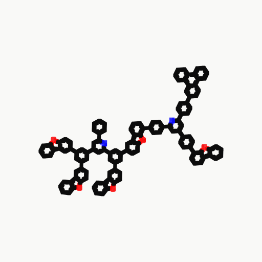 c1ccc(-c2cc(-c3cc(-c4ccc5oc6ccccc6c5c4)cc(-c4ccc5oc6ccccc6c5c4)c3)cc(-c3cc(-c4ccc5oc6ccccc6c5c4)cc(-c4ccc5oc6c(-c7ccc(-c8cc(-c9ccc(-c%10cccc%11c%10oc%10ccccc%10%11)cc9)cc(-c9ccc(-c%10ccc%11c%12ccccc%12c%12ccccc%12c%11c%10)cc9)n8)cc7)cccc6c5c4)c3)n2)cc1